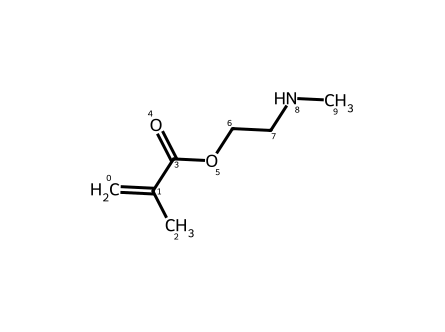 C=C(C)C(=O)OCCNC